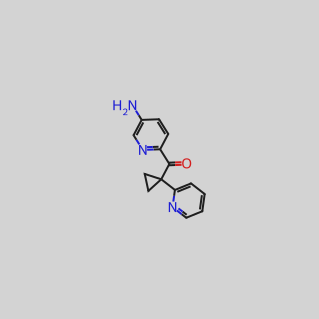 Nc1ccc(C(=O)C2(c3ccccn3)CC2)nc1